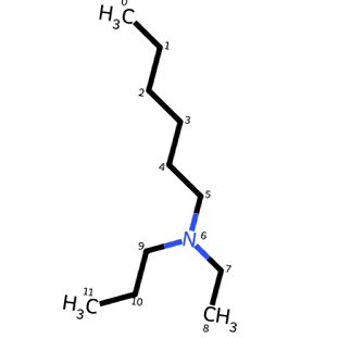 CCCCCCN(CC)CCC